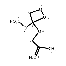 C=C(C)COC1(OC(=O)O)COO1